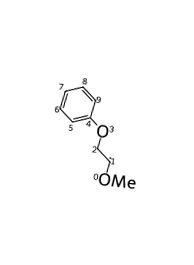 CO[CH]COc1ccccc1